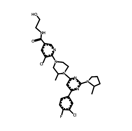 CC1CN(c2ncc(C(=O)NCCO)cc2Cl)CCN1c1cc(-c2ccc(F)c(Cl)c2)nc(N2CCCC2C)n1